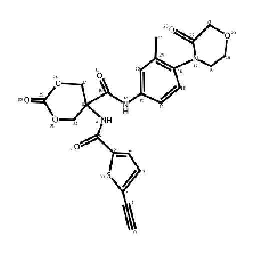 C#Cc1ccc(C(=O)NC2(C(=O)Nc3ccc(N4CCOCC4=O)c(C)c3)COC(=O)OC2)s1